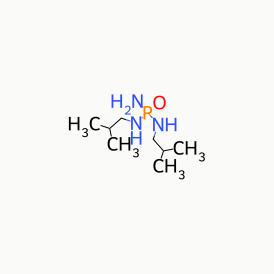 CC(C)CNP(N)(=O)NCC(C)C